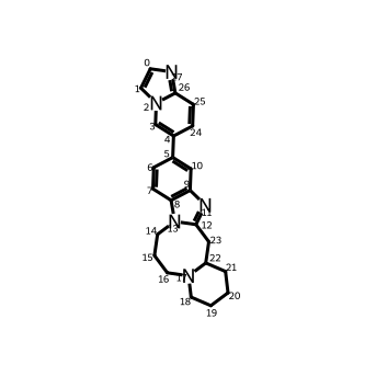 c1cn2cc(-c3ccc4c(c3)nc3n4CCCN4CCCCC4C3)ccc2n1